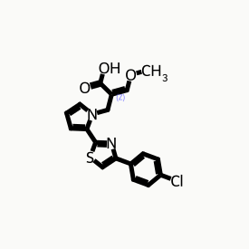 CO/C=C(/Cn1cccc1-c1nc(-c2ccc(Cl)cc2)cs1)C(=O)O